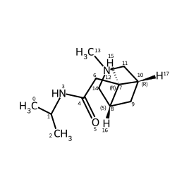 CC(C)NC(=O)C[C@@H]1[C@@H]2C[C@H]1CN(C)C2